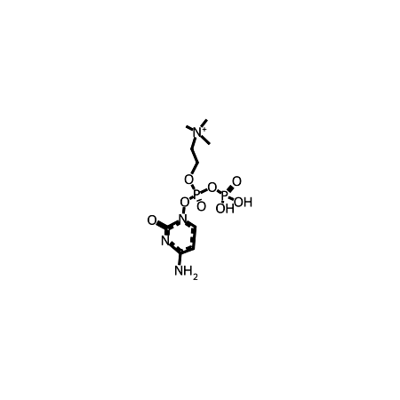 C[N+](C)(C)CCOP(=O)(On1ccc(N)nc1=O)OP(=O)(O)O